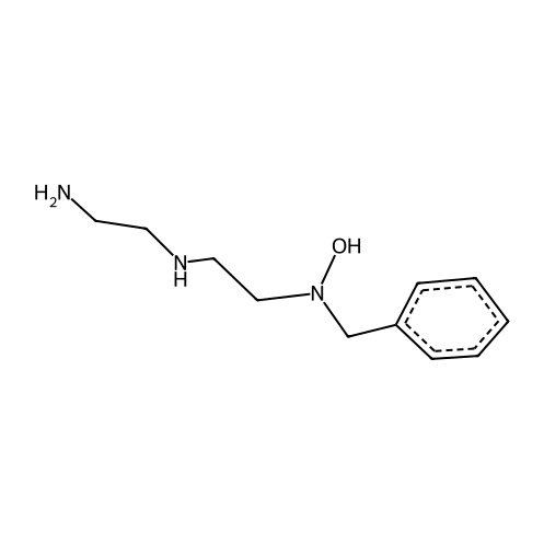 NCCNCCN(O)Cc1ccccc1